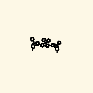 CC1CCC2(C)C(C1)c1cc(-c3ccc4c(c3)C(c3ccccc3)(c3ccccc3)c3cc(-c5ccc6c(c5)C5CC(C)CCC5(C)N6c5ccccc5)ccc3-4)ccc1N2c1ccccc1